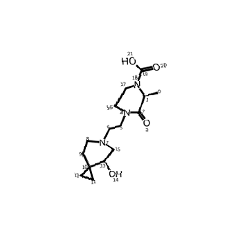 C[C@H]1C(=O)N(CCN2CCC3(CC3)[C@H](O)C2)CCN1C(=O)O